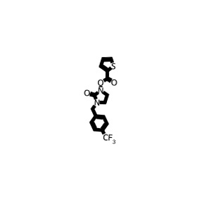 O=C(ON1CCN(Cc2ccc(C(F)(F)F)cc2)C1=O)c1cccs1